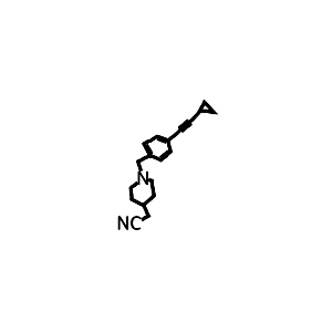 N#CCC1CCN(Cc2ccc(C#CC3CC3)cc2)CC1